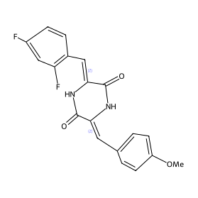 COc1ccc(/C=c2\[nH]c(=O)/c(=C/c3ccc(F)cc3F)[nH]c2=O)cc1